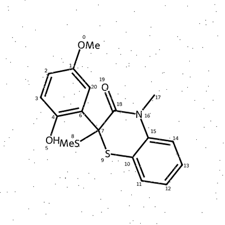 COc1ccc(O)c(C2(SC)Sc3ccccc3N(C)C2=O)c1